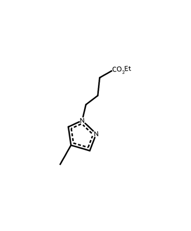 CCOC(=O)CCCn1cc(C)cn1